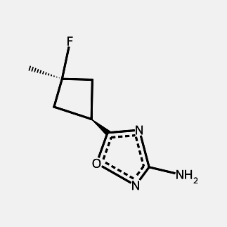 C[C@]1(F)C[C@@H](c2nc(N)no2)C1